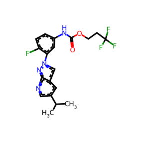 CC(C)c1cnc2nn(-c3cc(NC(=O)OCCC(F)(F)F)ccc3F)cc2c1